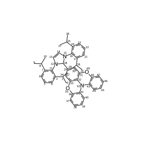 CC(C)c1cccc(C(C)C)c1N1C=CN(c2c(C(C)C)cccc2C(C)C)C1c1cc2c3c(c1)Oc1ccccc1N3c1ccccc1O2